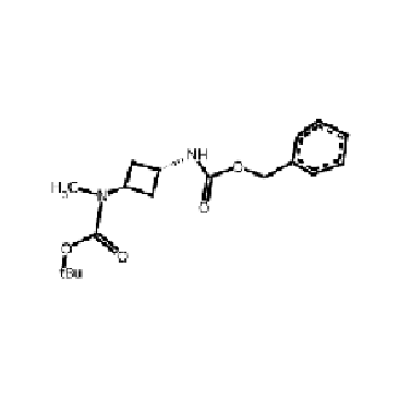 CN(C(=O)OC(C)(C)C)[C@H]1C[C@H](NC(=O)OCc2ccccc2)C1